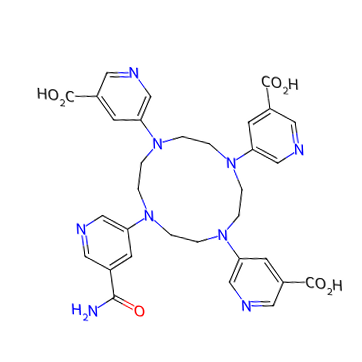 NC(=O)c1cncc(N2CCN(c3cncc(C(=O)O)c3)CCN(c3cncc(C(=O)O)c3)CCN(c3cncc(C(=O)O)c3)CC2)c1